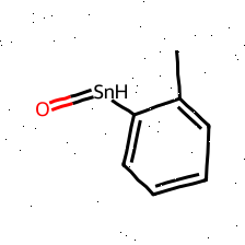 Cc1cccc[c]1[SnH]=[O]